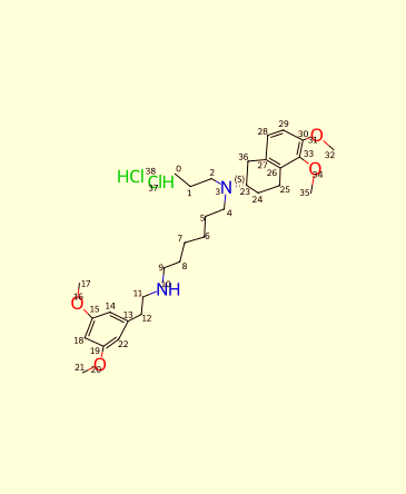 CCCN(CCCCCCNCCc1cc(OC)cc(OC)c1)[C@H]1CCc2c(ccc(OC)c2OC)C1.Cl.Cl